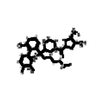 COCCCCC(O)(c1cccc(Cl)c1-c1ccc(C)c(C)c1)C1CN(C(=O)C2CC(N)C(O)C2)CCO1